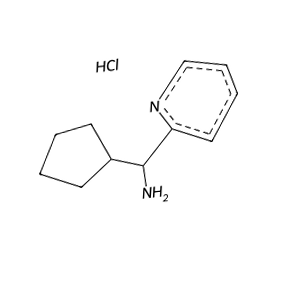 Cl.NC(c1ccccn1)C1CCCC1